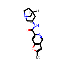 CCc1cc2cnc(C(=O)N[C@@H]3C[C@H]4CCN(C4)C3)cc2o1